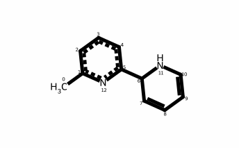 Cc1cccc(C2C=CC=CN2)n1